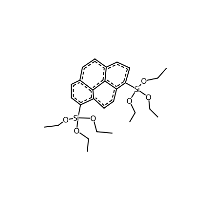 CCO[Si](OCC)(OCC)c1ccc2ccc3ccc([Si](OCC)(OCC)OCC)c4ccc1c2c34